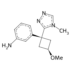 CO[C@H]1C[C@](c2cccc(N)c2)(c2nncn2C)C1